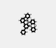 c1ccc(-c2cc3c4c(c2)N2c5ccccc5Oc5cccc(c52)B4n2c4ccccc4c4cccc-3c42)cc1